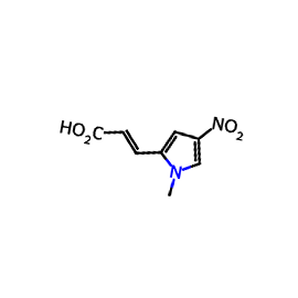 Cn1cc([N+](=O)[O-])cc1C=CC(=O)O